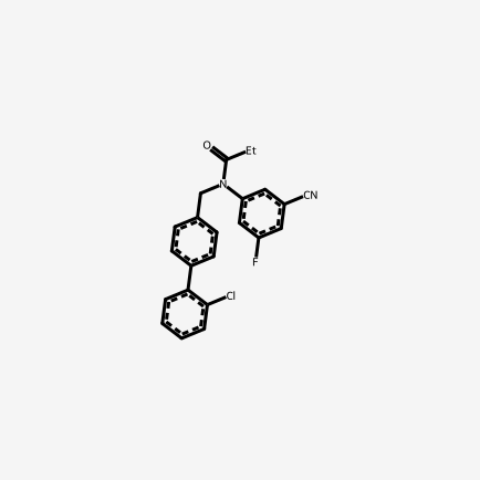 CCC(=O)N(Cc1ccc(-c2ccccc2Cl)cc1)c1cc(F)cc(C#N)c1